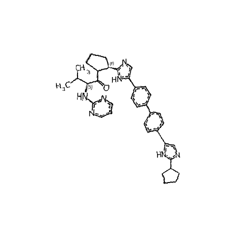 CC(C)[C@H](Nc1ncccn1)C(=O)C1CCC[C@H]1c1ncc(-c2ccc(-c3ccc(-c4cnc(C5CCCC5)[nH]4)cc3)cc2)[nH]1